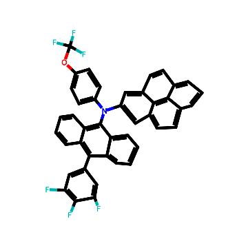 Fc1cc(-c2c3ccccc3c(N(c3ccc(OC(F)(F)F)cc3)c3cc4ccc5cccc6ccc(c3)c4c56)c3ccccc23)cc(F)c1F